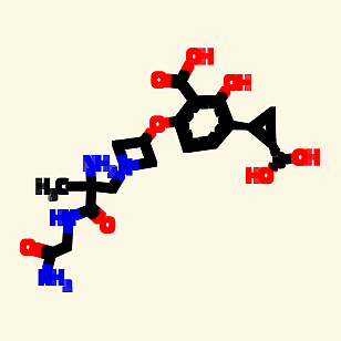 CC(N)(CN1CC(Oc2ccc([C@H]3C[C@H]3B(O)O)c(O)c2C(=O)O)C1)C(=O)NCC(N)=O